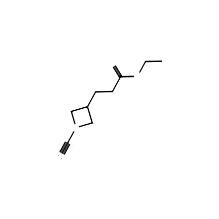 CCOC(=O)CCC1CB(C#N)C1